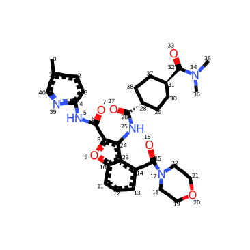 Cc1ccc(NC(=O)c2oc3cccc(C(=O)N4CCOCC4)c3c2NC(=O)[C@H]2CC[C@H](C(=O)N(C)C)CC2)nc1